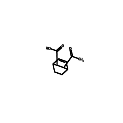 CC(=O)C1C2C=CC(CC2)C1C(=O)O